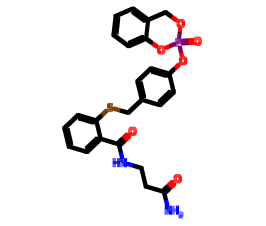 NC(=O)CCNC(=O)c1ccccc1SCc1ccc(OP2(=O)OCc3ccccc3O2)cc1